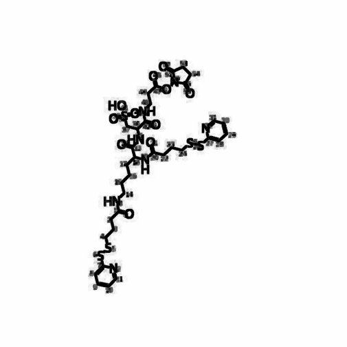 O=C(CCCSSc1ccccn1)NCCCCC(NC(=O)CCCSSc1ccccn1)C(=O)NC(CS(=O)(=O)O)C(=O)NCCC(=O)ON1C(=O)CCC1=O